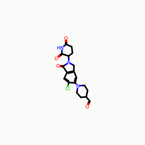 O=CC1CCN(c2cc3c(cc2Cl)C(=O)N(C2CCC(=O)NC2=O)C3)CC1